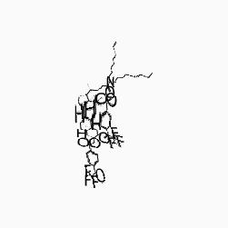 CCCCCCCCN(CCCCCCCC)C(=O)CC[C@@H](C)[C@H]1CC[C@H]2[C@@H]3CC[C@@H]4C[C@H](OC(=O)c5ccc(C(=O)C(F)(F)F)cc5)CC[C@]4(C)[C@H]3C[C@H](OC(=O)c3ccc(C(=O)C(F)(F)F)cc3)[C@]12C